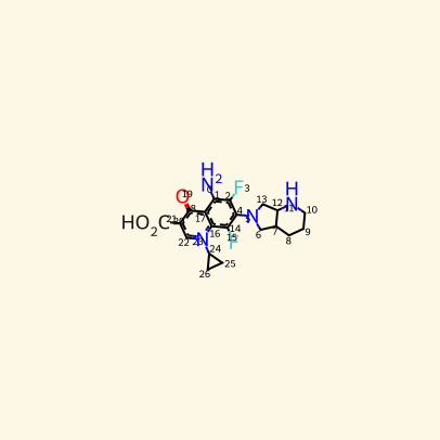 Nc1c(F)c(N2CC3CCCNC3C2)c(F)c2c1c(=O)c(C(=O)O)cn2C1CC1